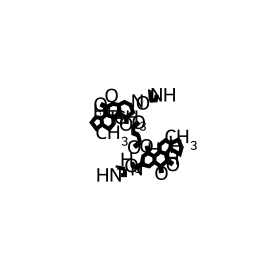 C[C@@]12CCC[C@H]1[C@@H]1C(=O)C(=O)C3CC(=NOC4CNC4)CC(OC(=O)/C=C/C(=O)OC4CC(=NOC5CNC5)CC5C(=O)C(=O)[C@@H]6[C@@H](CC[C@]7(C)CCC[C@@H]67)[C@@]45C)[C@]3(C)[C@@H]1CC2